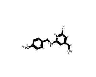 COc1ccc(C[AsH]c2cc(CO)cc(Cl)n2)cc1